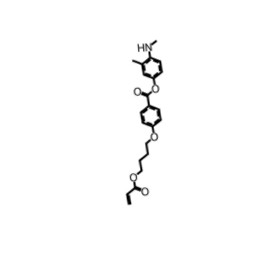 C=CC(=O)OCCCCOc1ccc(C(=O)Oc2ccc(NC)c(C)c2)cc1